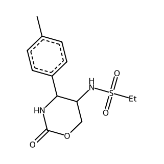 CCS(=O)(=O)NC1COC(=O)NC1c1ccc(C)cc1